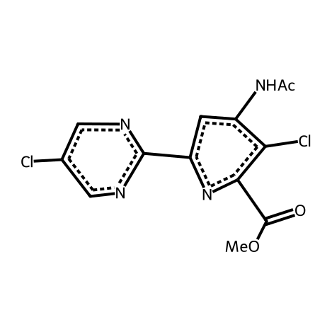 COC(=O)c1nc(-c2ncc(Cl)cn2)cc(NC(C)=O)c1Cl